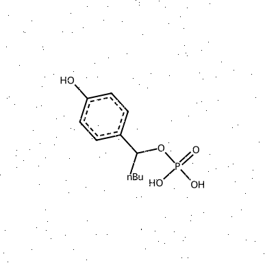 CCCCC(OP(=O)(O)O)c1ccc(O)cc1